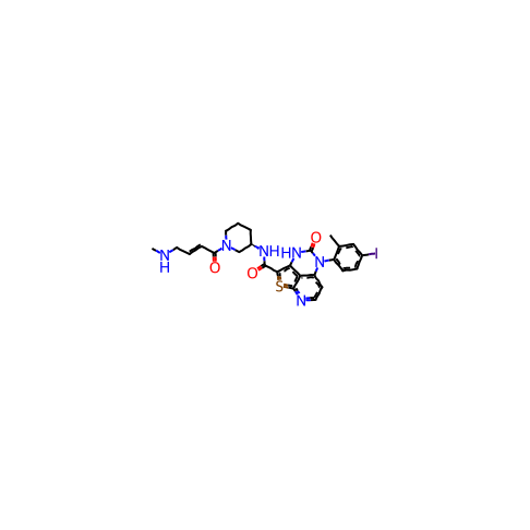 CNC/C=C/C(=O)N1CCC[C@@H](NC(=O)c2sc3nccc4c3c2NC(=O)N4c2ccc(I)cc2C)C1